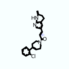 C=C1CCc2cc(/C=C/C(=O)N3CCC=C(c4ccccc4Cl)CC3)cnc2N1